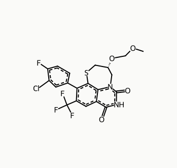 COCO[C@H]1CSc2c(-c3ccc(F)c(Cl)c3)c(C(F)(F)F)cc3c(=O)[nH]c(=O)n(c23)C1